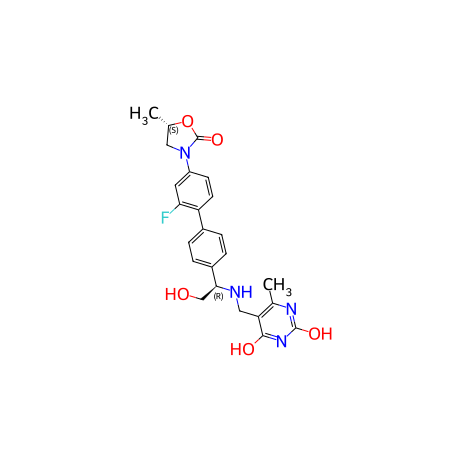 Cc1nc(O)nc(O)c1CN[C@@H](CO)c1ccc(-c2ccc(N3C[C@H](C)OC3=O)cc2F)cc1